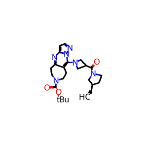 C#CC1CCN(C(=O)C2CN(c3c4c(nc5ccnn35)CCN(C(=O)OC(C)(C)C)CC4)C2)C1